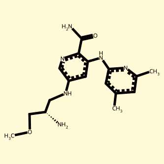 COC[C@@H](N)CNc1cnc(C(N)=O)c(Nc2cc(C)cc(C)n2)c1